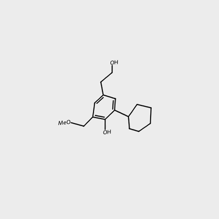 COCc1cc(CCO)cc(C2CCCCC2)c1O